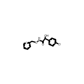 O=C(NOCc1ccccc1)C(O)c1ccc(Cl)cc1